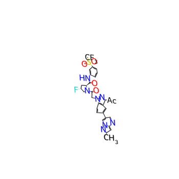 CC(=O)c1nn(CC(=O)N2C[C@H](F)C[C@H]2C(=O)Nc2cccc(S(=O)(=O)C(F)(F)F)c2)c2ccc(-c3cnc4cc(C)nn4c3)cc12